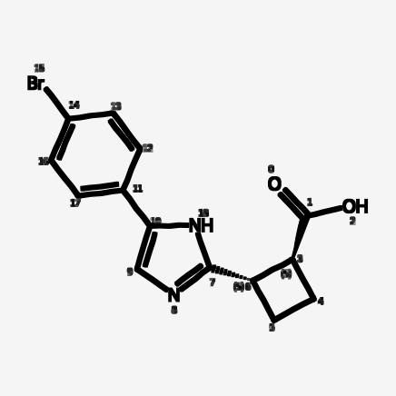 O=C(O)[C@H]1CC[C@@H]1c1ncc(-c2ccc(Br)cc2)[nH]1